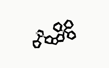 c1ccc(-c2nccn2-c2ccc3c(c2)-c2cc([Si](c4ccccc4)(c4ccccc4)c4ccccc4)ccc2C3)cc1